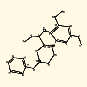 CCc1ccc(OC(CC)C2CN(Cc3ccccc3)CCN2)c(CC)c1